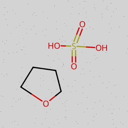 C1CCOC1.O=S(=O)(O)O